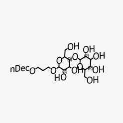 CCCCCCCCCCOCCCOC1OC(CO)[C@H](OC2OC(CO)[C@H](O)C(O)[C@H]2O)C(O)[C@H]1O